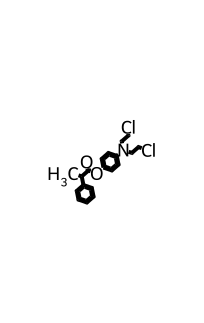 CC(C(=O)Oc1ccc(N(CCCl)CCCl)cc1)c1ccccc1